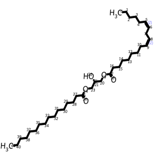 CCCCC/C=C\C/C=C\CCCCCCCC(=O)OC[C@H](O)COC(=O)CCCCCCCCCCCCCCC